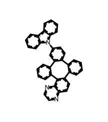 c1ccc2c(c1)-c1ccc(-n3c4ccccc4c4ccccc43)cc1-c1ccccc1-c1c-2ccc2nccnc12